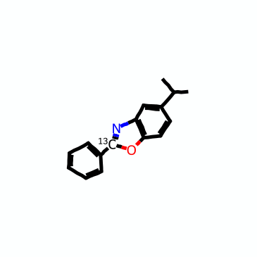 CC(C)c1ccc2o[13c](-c3ccccc3)nc2c1